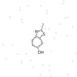 Oc1ccc2nc(I)sc2c1